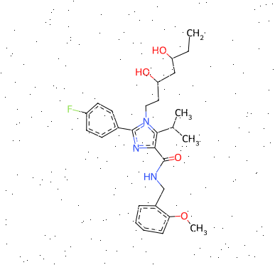 [CH2]CC(O)CC(O)CCn1c(-c2ccc(F)cc2)nc(C(=O)NCc2ccccc2OC)c1C(C)C